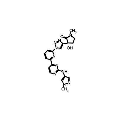 CN1CC[C@@](O)(c2cn(-c3cccc(-c4ccnc(Nc5cnn(C)c5)n4)n3)nn2)C1=O